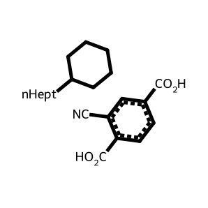 CCCCCCCC1CCCCC1.N#Cc1cc(C(=O)O)ccc1C(=O)O